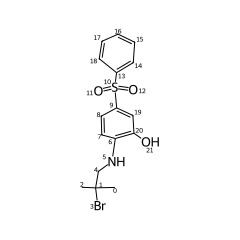 CC(C)(Br)CNc1ccc(S(=O)(=O)c2ccccc2)cc1O